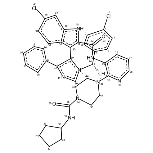 C[C@@H](c1ccc(Cl)cc1)n1cnc(-c2ccccc2)c1-c1c(C(=O)Nc2cccnc2N2CCN(C(=O)NC3CCCC3)CC2)[nH]c2cc(Cl)ccc12